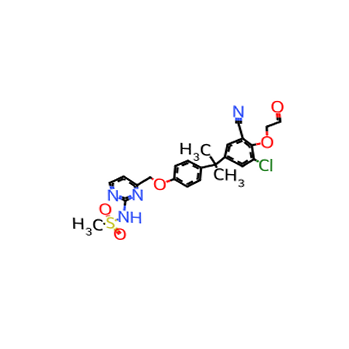 CC(C)(c1ccc(OCc2ccnc(NS(C)(=O)=O)n2)cc1)c1cc(Cl)c(OCC=O)c(C#N)c1